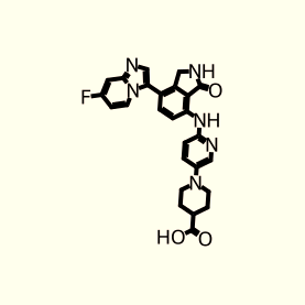 O=C1NCc2c(-c3cnc4cc(F)ccn34)ccc(Nc3ccc(N4CCC(C(=O)O)CC4)cn3)c21